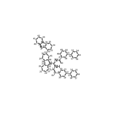 C=C(/N=C(\N/C(C)=C(/C)c1ccc(-c2ccccc2)cc1)n1c2ccccc2c2ccc(-c3cccc4c3sc3ccccc34)cc21)c1cccc(-c2ccccc2)c1